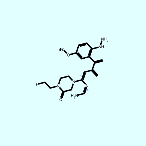 C=C(/C=C(\N=C/N)N1CCN(CCF)C(=O)C1)C(=C)c1cc(OC(C)C)ccc1NN